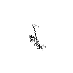 C=C(C)C(=O)OCCCCCCCCCCCC.C=C(C)[CH2][Na]